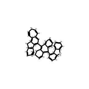 C1#Cc2c(cc(-c3c4c(c(-c5cccc6oc7ccccc7c56)c5ccccc35)C=CCC4)c3c2Cc2ccc#cc2-3)C=CC1